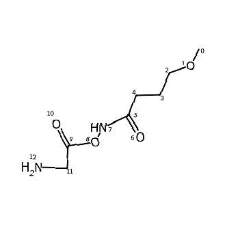 COCCCC(=O)NOC(=O)CN